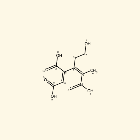 CC(C(=O)O)=C(CCO)/C(=C/C(=O)O)C(=O)O